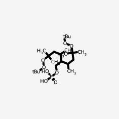 CC(CC(C)(C)OOC(C)(C)C)C(COP(=O)(O)O)C(C)CC(C)(C)OOC(C)(C)C